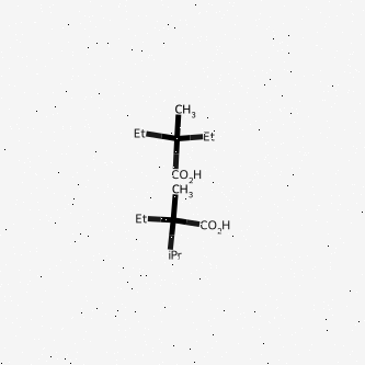 CCC(C)(C(=O)O)C(C)C.CCC(C)(CC)C(=O)O